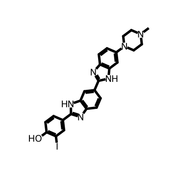 CN1CCN(c2ccc3nc(-c4ccc5nc(-c6ccc(O)c(I)c6)[nH]c5c4)[nH]c3c2)CC1